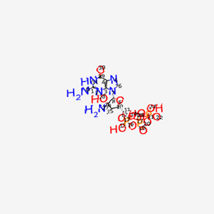 Nc1nc2c(ncn2[C@@H]2O[C@H](COP(=O)(O)OP(=O)(O)OP(=O)(O)O)C[C@@]2(N)O)c(=O)[nH]1